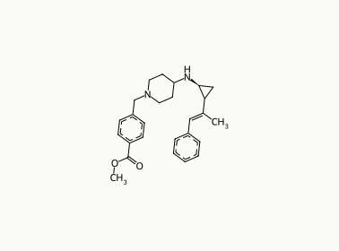 COC(=O)c1ccc(CN2CCC(N[C@H]3CC3C(C)=Cc3ccccc3)CC2)cc1